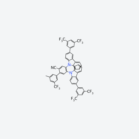 Cc1cc(-c2cc(-n3c4ccccc4c4cc(-c5cc(C(F)(F)F)cc(C(F)(F)F)c5)ccc43)c(-n3c4ccccc4c4cc(-c5cc(C(F)(F)F)cc(C(F)(F)F)c5)ccc43)cc2C#N)cc(C(F)(F)F)c1